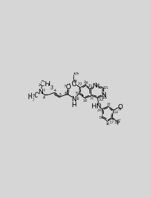 CN(C)C/C=C/C(=O)Nc1cc2c(Nc3ccc(F)c(Cl)c3)ncnc2cc1OI